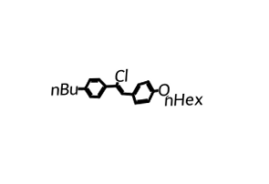 CCCCCCOc1ccc(/C=C(\Cl)c2ccc(CCCC)cc2)cc1